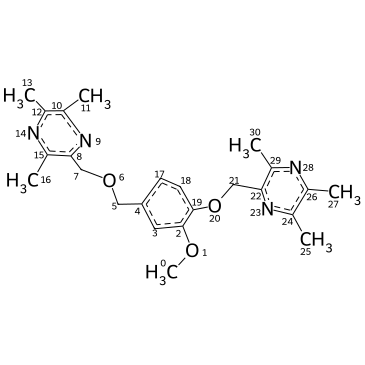 COc1cc(COCc2nc(C)c(C)nc2C)ccc1OCc1nc(C)c(C)nc1C